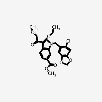 CCCc1c(C(=O)COC)c2ccc(C(=O)OC)cc2n1Cc1cc2c(cc1Cl)OCO2